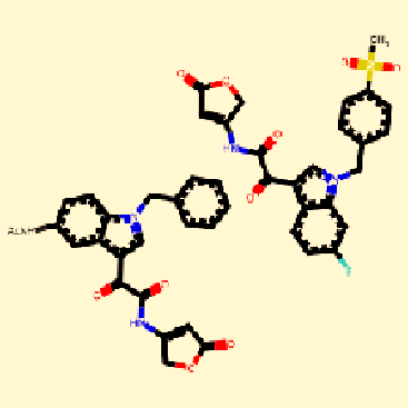 CC(=O)Nc1ccc2c(c1)c(C(=O)C(=O)NC1=CC(=O)OC1)cn2Cc1ccccc1.CS(=O)(=O)c1ccc(Cn2cc(C(=O)C(=O)NC3=CC(=O)OC3)c3ccc(F)cc32)cc1